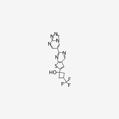 OC1(c2cc3cnc(-c4cnc5nncn5c4)nc3s2)CC(C(F)(F)F)C1